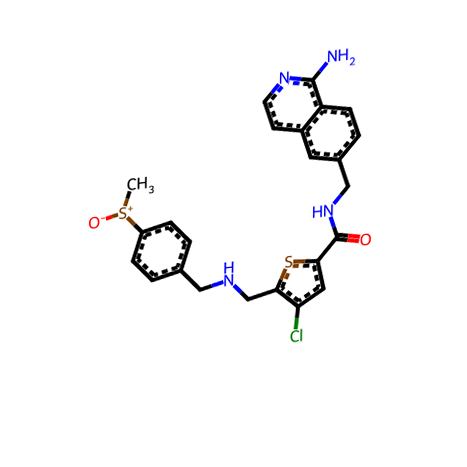 C[S+]([O-])c1ccc(CNCc2sc(C(=O)NCc3ccc4c(N)nccc4c3)cc2Cl)cc1